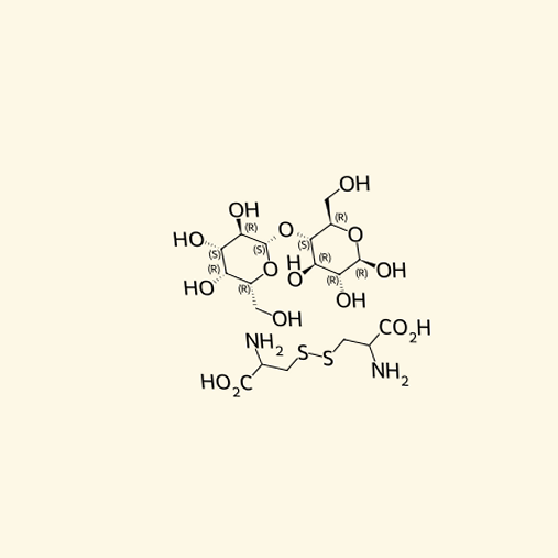 NC(CSSCC(N)C(=O)O)C(=O)O.OC[C@H]1O[C@@H](O[C@H]2[C@H](O)[C@@H](O)[C@H](O)O[C@@H]2CO)[C@H](O)[C@@H](O)[C@H]1O